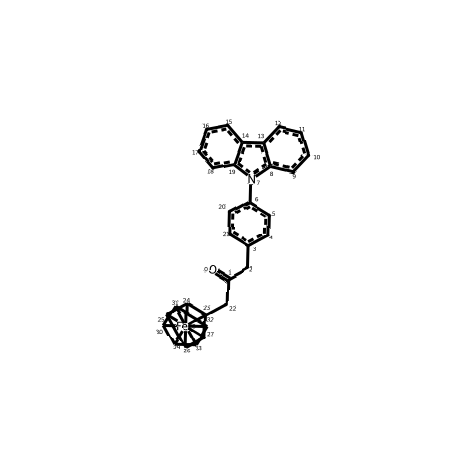 O=C(Cc1ccc(-n2c3ccccc3c3ccccc32)cc1)C[C]12[CH]3[CH]4[CH]5[CH]1[Fe]45321678[CH]2[CH]1[CH]6[CH]7[CH]28